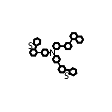 c1cc(-c2cccc(N(c3ccc(-c4ccc5sc6ccccc6c5c4)cc3)c3ccc(-c4cccc5sc6ccccc6c45)cc3)c2)cc(-c2cccc3ccccc23)c1